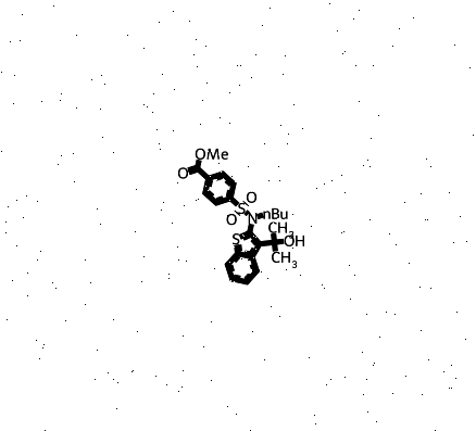 CCCCN(c1sc2ccccc2c1C(C)(C)O)S(=O)(=O)c1ccc(C(=O)OC)cc1